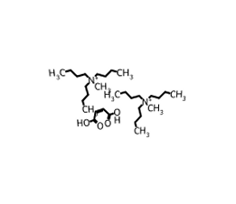 CCCC[N+](C)(CCCC)CCCC.CCCC[N+](C)(CCCC)CCCC.O=C(O)/C=C\C(=O)O